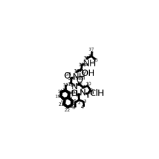 CCC(CC)C(=O)N1CCCC1C(=O)N[C@H](Cc1ccc2ccccc2c1)C(=O)NCC(O)CNCC(C)C.Cl